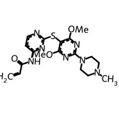 C=CC(=O)Nc1ccnc(Sc2c(OC)nc(N3CCN(C)CC3)nc2OC)n1